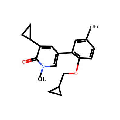 CCCCc1ccc(OCC2CC2)c(-c2cc(C3CC3)c(=O)n(C)c2)c1